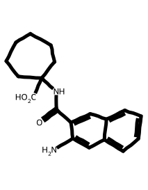 Nc1cc2ccccc2cc1C(=O)NC1(C(=O)O)CCCCCC1